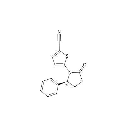 N#Cc1ccc(N2C(=O)CC[C@H]2c2ccccc2)s1